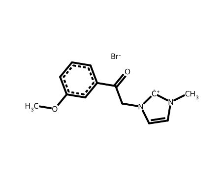 COc1cccc(C(=O)CN2[C+]N(C)C=C2)c1.[Br-]